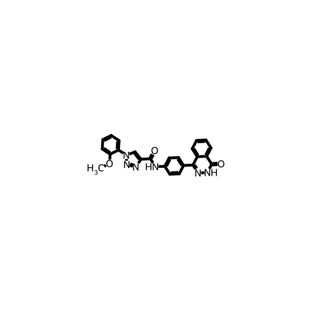 COc1ccccc1-n1cc(C(=O)Nc2ccc(-c3n[nH]c(=O)c4ccccc34)cc2)nn1